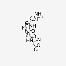 CCOC(=O)CC(C#N)NC(=O)C1CCN1C(=O)C(NC(=O)c1cc(F)c(N)cc1C)C(F)(F)F